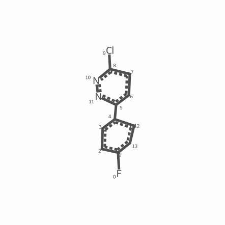 Fc1ccc(-c2ccc(Cl)nn2)cc1